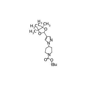 CC(C)(C)OC(=O)N1CCC(n2cc(C3OC(C)(C)C(C)(C)O3)cn2)CC1